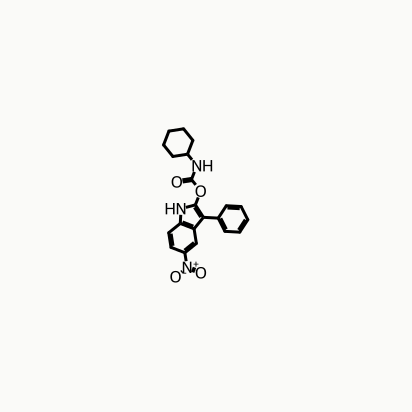 O=C(NC1CCCCC1)Oc1[nH]c2ccc([N+](=O)[O-])cc2c1-c1ccccc1